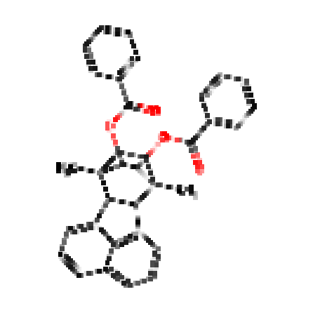 CC12CCC(C)(C(OC(=O)c3ccccc3)C1OC(=O)c1ccccc1)C1c3cccc4cccc(c34)C12